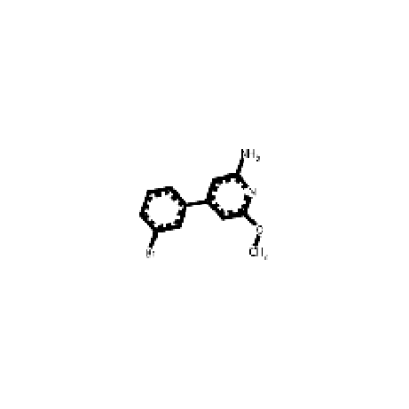 COc1cc(-c2cccc(Br)c2)cc(N)n1